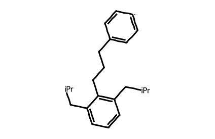 CC(C)Cc1cccc(CC(C)C)c1CCCc1cc[c]cc1